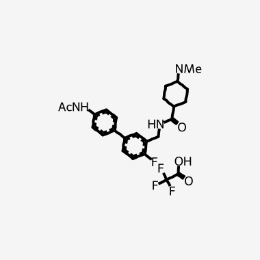 CNC1CCC(C(=O)NCc2cc(-c3ccc(NC(C)=O)cc3)ccc2F)CC1.O=C(O)C(F)(F)F